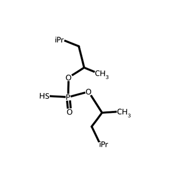 CC(C)CC(C)OP(=O)(S)OC(C)CC(C)C